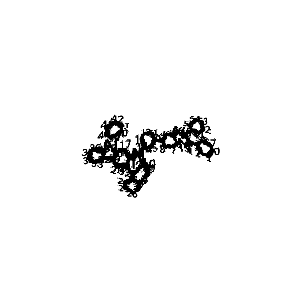 c1ccc(-c2nc3ccc(-c4cccc(-n5c6cc7c(cc6c6c8ccccc8ccc65)c5ccccc5n7-c5ccccc5)c4)cc3nc2-c2ccccc2)cc1